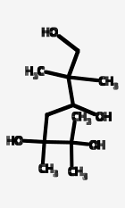 CC(C)(CO)C(O)CC(C)(O)C(C)(C)O